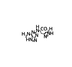 Nc1nc(N[C@@H](Cc2c[nH]cn2)C(=O)O)nc2nc[nH]c12